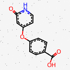 O=C(O)c1ccc(Oc2cc[nH]c(=O)c2)cc1